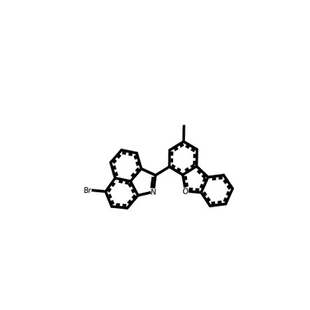 Cc1cc(C2=Nc3ccc(Br)c4cccc2c34)c2oc3ccccc3c2c1